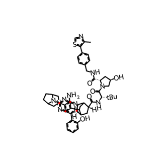 Cc1ncsc1-c1ccc(CNC(=O)[C@@H]2C[C@@H](O)CN2C(=O)[C@@H](NC(=O)[C@@H]2CC3CCC2C[C@@H]3c2cnc(N3C4CCC3CN(c3cc(-c5ccccc5O)nnc3N)C4)nc2)C(C)(C)C)cc1